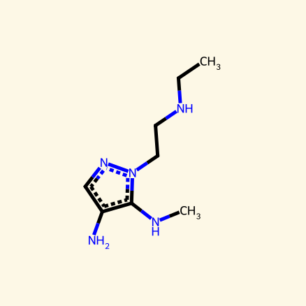 CCNCCn1ncc(N)c1NC